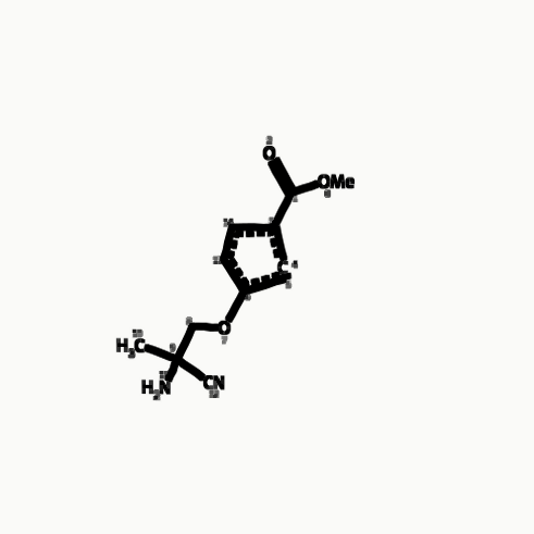 COC(=O)c1ccc(OCC(C)(N)C#N)cc1